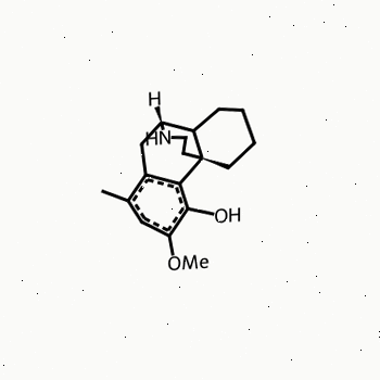 COc1cc(C)c2c(c1O)[C@@]13CCCCC1[C@@H](C2)NCC3